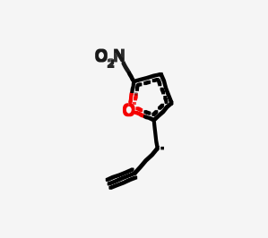 C#C[CH]c1ccc([N+](=O)[O-])o1